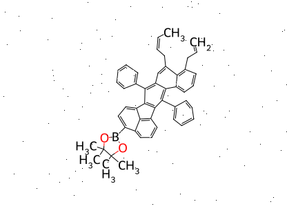 C=CCc1cccc2c1c(C/C=C\C)cc1c(-c3ccccc3)c3c(c(-c4ccccc4)c12)-c1cccc2c(B4OC(C)(C)C(C)(C)O4)ccc-3c12